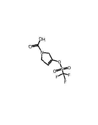 O=C(O)N1CC=C(OS(=O)(=O)C(F)(F)F)C1